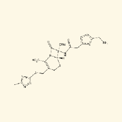 CO[C@@]1(NC(=O)Cc2ccc(CN)s2)C(=O)N2C(C(=O)O)=C(CSc3nnc(C)s3)CS[C@H]21